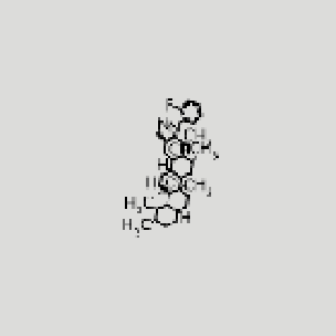 C[C@@H]1CC[C@H]2CC[C@]3(C)C(=CC[C@@H]4[C@@]5(C)Cc6cnn(-c7ccccc7F)c6C(C)(C)C5CC[C@]43C)C2[C@H]1C